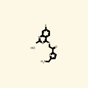 Cc1nc(SCC(=O)c2ccc(CN)s2)c2ccc(F)cc2n1.Cl